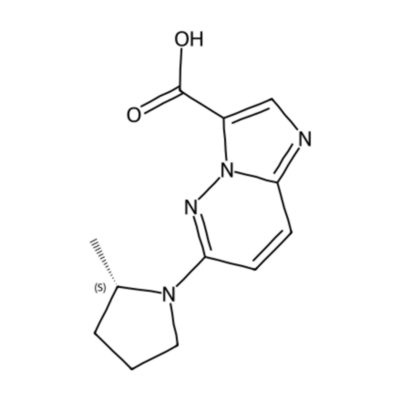 C[C@H]1CCCN1c1ccc2ncc(C(=O)O)n2n1